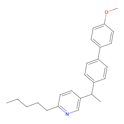 CCCCCc1ccc(C(C)c2ccc(-c3ccc(OC)cc3)cc2)cn1